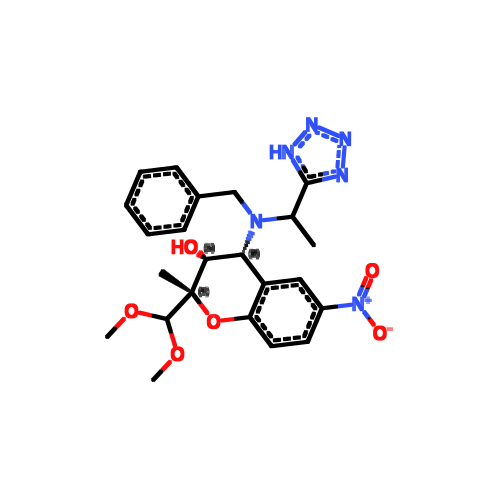 COC(OC)[C@@]1(C)Oc2ccc([N+](=O)[O-])cc2[C@@H](N(Cc2ccccc2)C(C)c2nnn[nH]2)[C@@H]1O